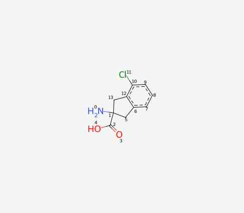 NC1(C(=O)O)Cc2cccc(Cl)c2C1